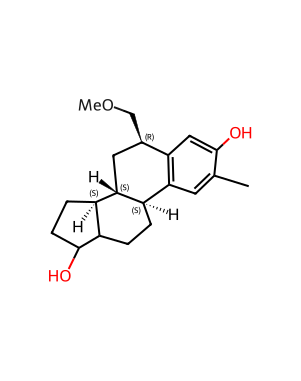 COC[C@@H]1C[C@@H]2[C@H](CCC3C(O)CC[C@H]32)c2cc(C)c(O)cc21